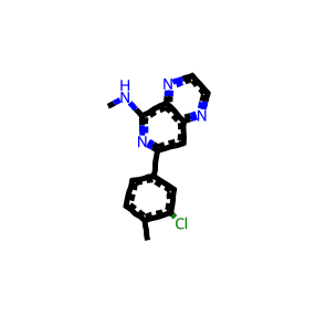 CNc1nc(-c2ccc(C)c(Cl)c2)cc2nccnc12